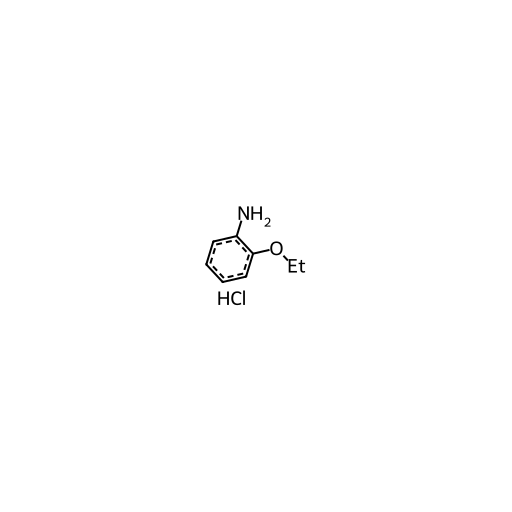 CCOc1ccccc1N.Cl